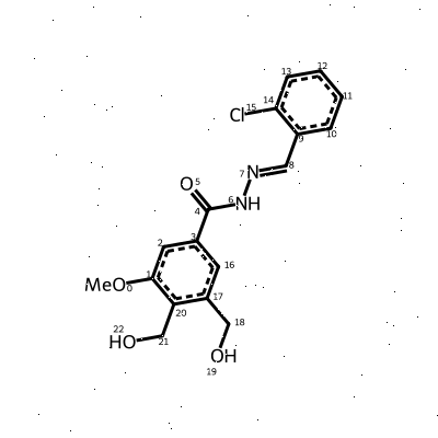 COc1cc(C(=O)N/N=C/c2ccccc2Cl)cc(CO)c1CO